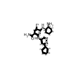 NC(=O)c1cc(F)c(N[C@@H]2CCCC[C@@H]2N)nc1Nc1cnnc(-c2ccccc2)c1